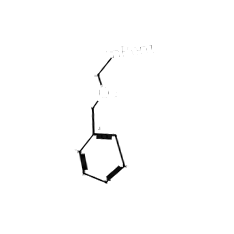 CCCCCCOCc1cc[c]cc1